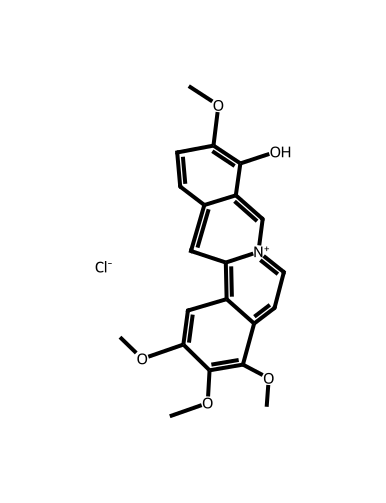 COc1cc2c(cc[n+]3cc4c(O)c(OC)ccc4cc23)c(OC)c1OC.[Cl-]